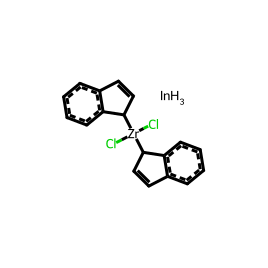 [Cl][Zr]([Cl])([CH]1C=Cc2ccccc21)[CH]1C=Cc2ccccc21.[InH3]